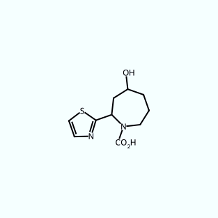 O=C(O)N1CCCC(O)CC1c1nccs1